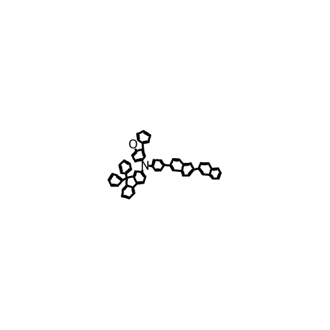 c1ccc(C2(c3ccccc3)c3ccccc3-c3ccc(N(c4ccc(-c5ccc6cc(-c7ccc8ccccc8c7)ccc6c5)cc4)c4ccc5oc6ccccc6c5c4)cc32)cc1